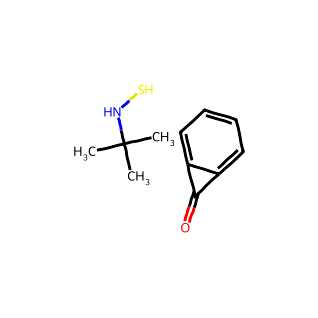 CC(C)(C)NS.O=c1c2ccccc12